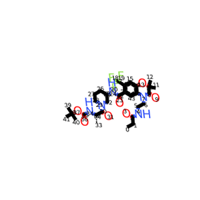 CCC(=O)NCCN1C(=O)C(C)(C)Oc2cc(C(F)(F)F)c(C(=O)N[C@@H]3CCCN(C(=O)[C@H](C)NC(=O)OC(C)(C)C)C3)cc21